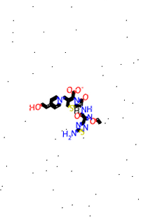 CCON=C(C(=O)NC1C(=O)N2C(C(=O)[O-])=C(C[n+]3ccc(CCO)cc3)CS[C@@H]12)c1nsc(N)n1